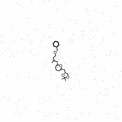 C[C@@H](CCOCc1ccccc1)C[C@@H]1CCC[C@H](CC2COC(C)(C)O2)O1